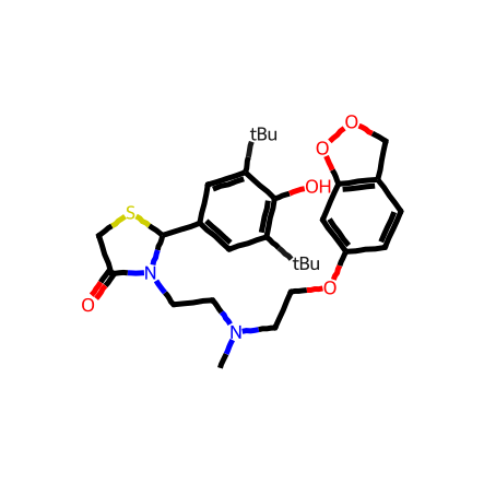 CN(CCOc1ccc2c(c1)OOC2)CCN1C(=O)CSC1c1cc(C(C)(C)C)c(O)c(C(C)(C)C)c1